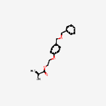 C=C(C)C(=O)OCCOc1ccc(COCc2ccccc2)cc1